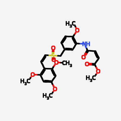 COC(=O)/C=C\C(=O)Nc1cc(CS(=O)(=O)/C=C\c2c(OC)cc(OC)cc2OC)ccc1OC